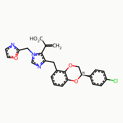 C=C(C(=O)O)c1c(Cc2cccc3c2OC[C@@H](c2ccc(Cl)cc2)O3)ncn1Cc1ncco1